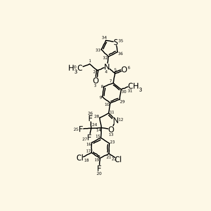 CCC(=O)N(C(=O)c1ccc(C2=NOC(c3cc(Cl)c(F)c(Cl)c3)(C(F)(F)F)C2)cc1C)c1ccsc1